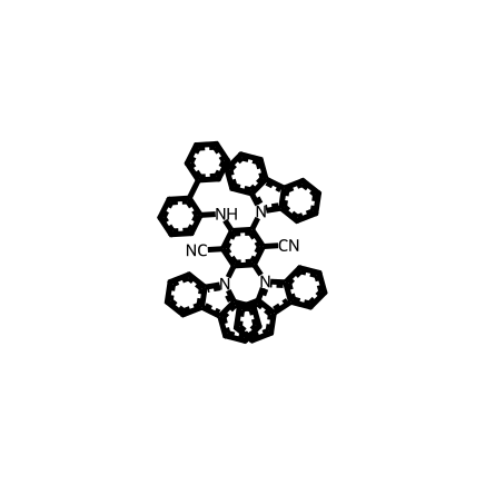 N#Cc1c(Nc2ccccc2-c2ccccc2)c(-n2c3ccccc3c3ccccc32)c(C#N)c(-n2c3ccccc3c3ccccc32)c1-n1c2ccccc2c2ccccc21